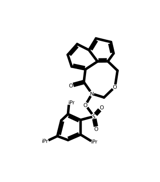 CC(C)c1cc(C(C)C)c(S(=O)(=O)ON2COCc3cccc4cccc(c34)C2=O)c(C(C)C)c1